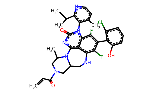 C=CC(=O)N1CC(C)N2c3nc(=O)n(-c4c(C)ccnc4C(C)C)c4c(F)c(-c5c(O)cccc5Cl)c(F)c(c34)NCC2C1